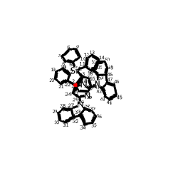 c1ccc([Si](c2ccccc2)(c2ccccc2)c2ccccc2-c2cc(-n3c4ccccc4c4ccccc43)nc(-n3c4ccccc4c4ccccc43)n2)cc1